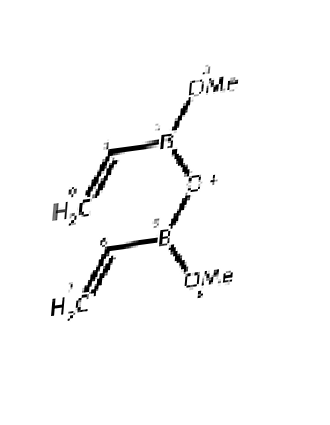 C=CB(OC)OB(C=C)OC